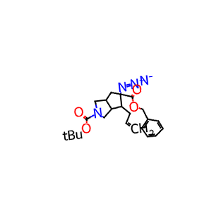 C=CCC1C2CN(C(=O)OC(C)(C)C)CC2CC1(N=[N+]=[N-])C(=O)OCc1ccccc1